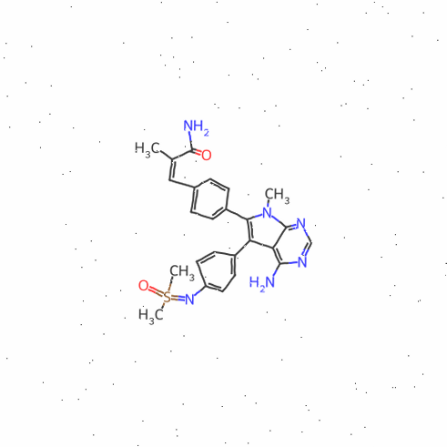 CC(=Cc1ccc(-c2c(-c3ccc(N=S(C)(C)=O)cc3)c3c(N)ncnc3n2C)cc1)C(N)=O